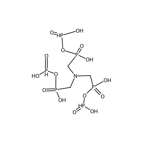 O=[PH](O)OP(=O)(O)CN(CP(=O)(O)O[PH](=O)O)CP(=O)(O)O[PH](=O)O